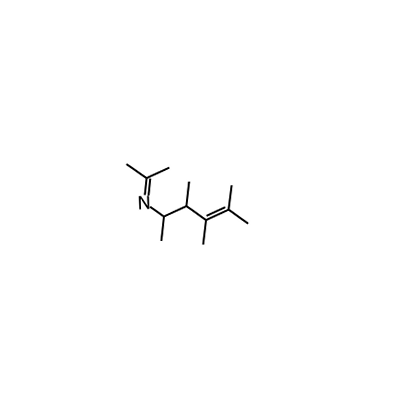 CC(C)=NC(C)C(C)C(C)=C(C)C